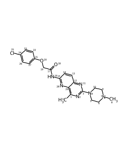 Cc1nc(N2CCN(C)CC2)nc2ccc(NC(=O)COc3ccc(Cl)cc3)nc12